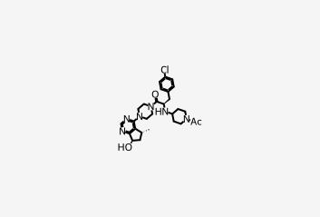 CC(=O)N1CCC(N[C@H](Cc2ccc(Cl)cc2)C(=O)N2CCN(c3ncnc4c3[C@H](C)C[C@H]4O)CC2)CC1